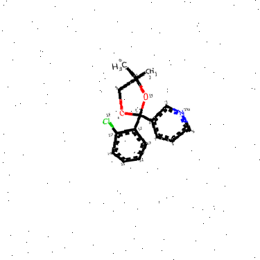 CC1(C)COC(c2cccnc2)(c2ccccc2Cl)O1